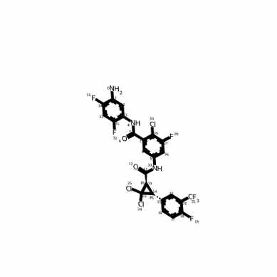 Nc1cc(NC(=O)c2cc(NC(=O)[C@H]3[C@H](c4ccc(F)c(C(F)(F)F)c4)C3(Cl)Cl)cc(F)c2Cl)c(F)cc1F